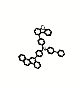 c1ccc(-c2ccc(N(c3ccc(-c4cc5c6ccccc6ccc5c5ccccc45)cc3)c3ccc(-c4cccc5oc6ccccc6c45)cc3)cc2)cc1